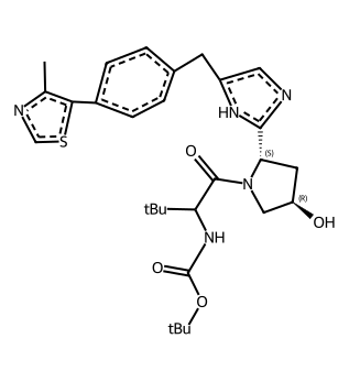 Cc1ncsc1-c1ccc(Cc2cnc([C@@H]3C[C@@H](O)CN3C(=O)C(NC(=O)OC(C)(C)C)C(C)(C)C)[nH]2)cc1